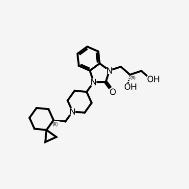 O=c1n(C[C@@H](O)CO)c2ccccc2n1C1CCN(C[C@@H]2CCCCC23CC3)CC1